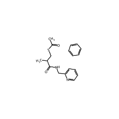 CC(=O)SCC(C)C(=O)NCc1ccccn1.c1ccccc1